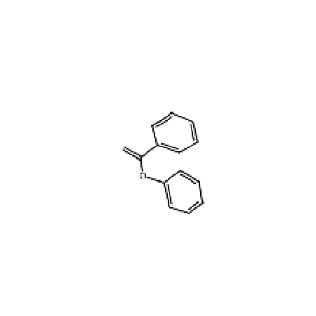 C=C(Oc1ccccc1)c1ccccc1